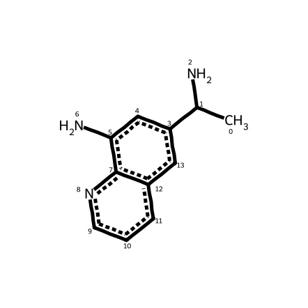 CC(N)c1cc(N)c2ncccc2c1